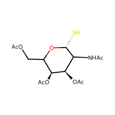 CC(=O)NC1[C@@H](OC(C)=O)[C@@H](OC(C)=O)C(COC(C)=O)O[C@@H]1S